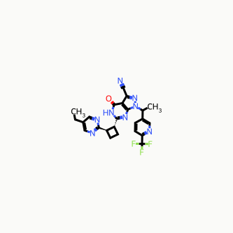 CCc1cnc([C@@H]2CC[C@H]2c2nc3c(c(C#N)nn3C(C)c3ccc(C(F)(F)F)nc3)c(=O)[nH]2)nc1